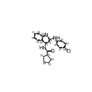 O=C(Nc1cc(Nc2ccc(Cl)cc2)nc2ccccc12)C1CCCC1